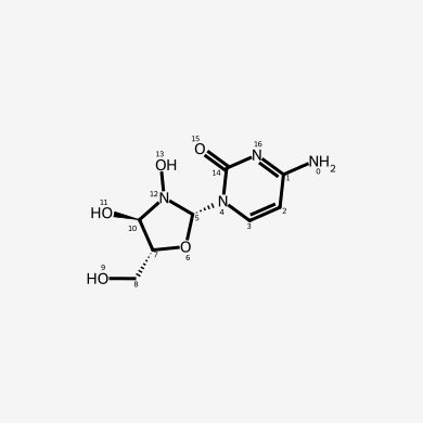 Nc1ccn([C@@H]2O[C@H](CO)[C@@H](O)N2O)c(=O)n1